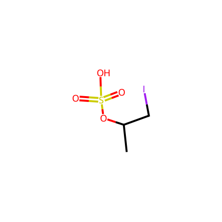 CC(CI)OS(=O)(=O)O